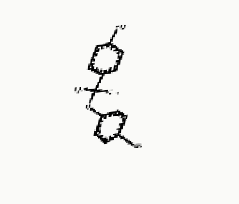 CCC(C)c1ccc(OC(C)(C)c2ccc(OC)cc2)cc1